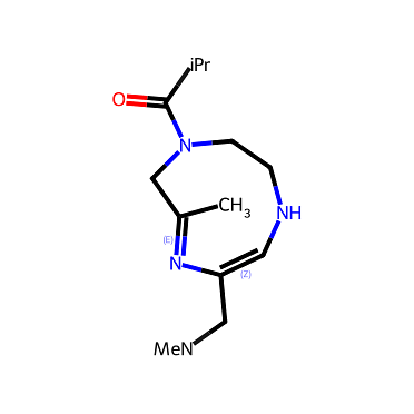 CNCC1=C/NCCN(C(=O)C(C)C)C\C(C)=N\1